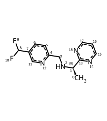 C[C@@H](NCc1ccc(C(F)F)cn1)c1ncccn1